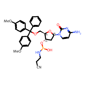 COc1ccc(C(OC[C@H]2O[C@@H](n3ccc(N)nc3=O)C[C@@H]2OP(O)NCCC#N)(c2ccccc2)c2ccc(OC)cc2)cc1